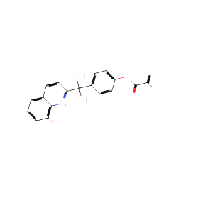 C=C(C)C(=O)Oc1ccc(C(C)(C)c2ccc3cccc(O)c3n2)cc1